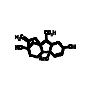 C=C1CC23CC1(O)CCC2C1(OC(C)=O)C=CC(O)CC1C3C(=O)O